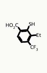 CCc1c(C(F)(F)F)ccc(C(=O)O)c1S